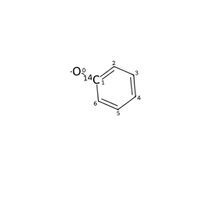 [O][14c]1ccccc1